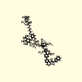 Cc1c(-c2ccc(-c3ccc4c(c3)N(C(=O)Nc3nc5ccccc5s3)CCC4)nc2C(=O)O)cnn1CC12CC3(C)CC(C)(C1)CC(OCCN(C)C(=O)OCc1ccc(OCCOCCNC(=O)C(N)CS(=O)(=O)O)cc1O[C@@H]1O[C@H](C(=O)O)[C@@H](O)[C@H](O)[C@H]1O)(C3)C2